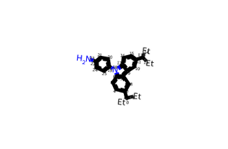 CCC(CC)c1ccc2c(c1)c1cc(C(CC)CC)ccc1n2-c1ccc(N)cc1